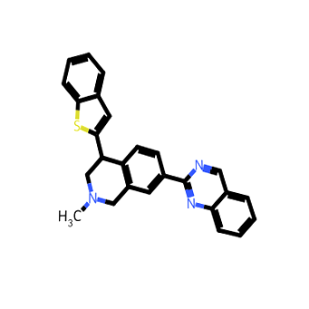 CN1Cc2cc(-c3ncc4ccccc4n3)ccc2C(c2cc3ccccc3s2)C1